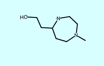 CN1CC[N]C(CCO)CC1